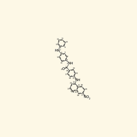 O=C(Nc1ccc(Nc2ccccc2)cc1)c1ccc(Nc2ccnc3cc([N+](=O)[O-])ccc23)cc1